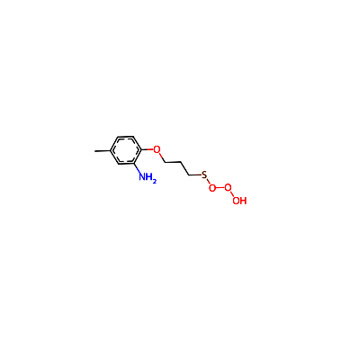 Cc1ccc(OCCCSOOO)c(N)c1